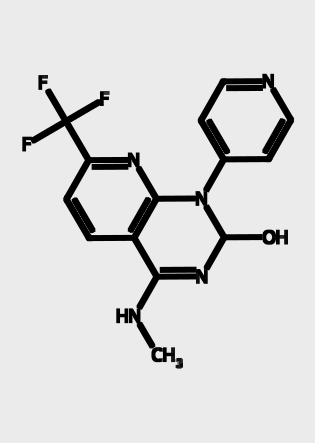 CNC1=NC(O)N(c2ccncc2)c2nc(C(F)(F)F)ccc21